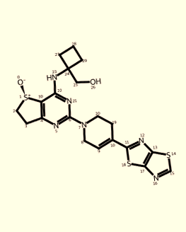 [O-][S@+]1CCc2nc(N3CC=C(c4nc5scnc5s4)CC3)nc(NC3(CO)CCC3)c21